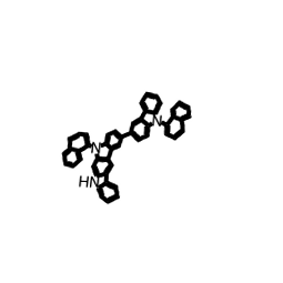 c1ccc2c(-n3c4ccccc4c4cc(-c5ccc6c(c5)c5cc7c(cc5n6-c5cccc6ccccc56)[nH]c5ccccc57)ccc43)cccc2c1